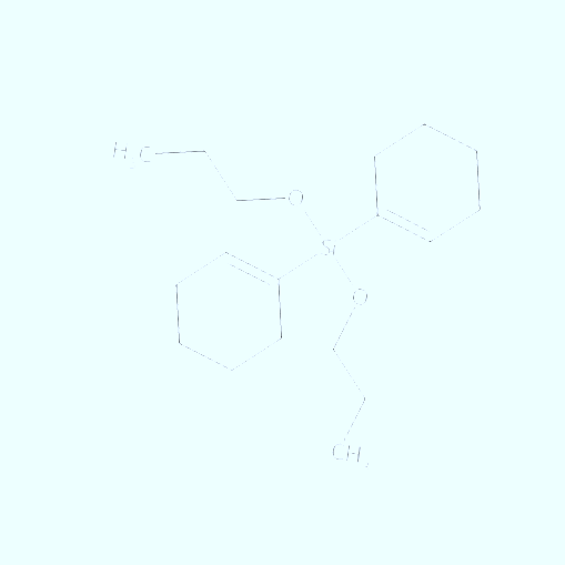 CCCO[Si](OCCC)(C1=CCCCC1)C1=CCCCC1